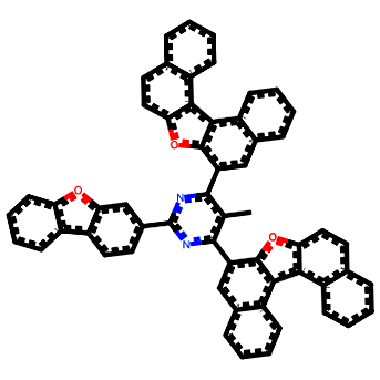 Cc1c(-c2cc3ccccc3c3c2oc2ccc4ccccc4c23)nc(-c2ccc3c(c2)oc2ccccc23)nc1-c1cc2ccccc2c2c1oc1ccc3ccccc3c12